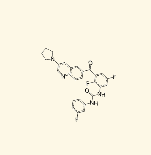 O=C(Nc1cccc(F)c1)Nc1cc(F)cc(C(=O)c2ccc3ncc(N4CCCC4)cc3c2)c1F